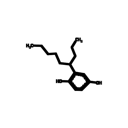 CCCCCC(CCC)c1cc(O)ccc1O